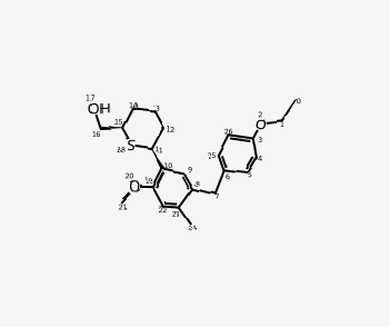 CCOc1ccc(Cc2cc([C@@H]3CCC[C@H](CO)S3)c(OC)cc2C)cc1